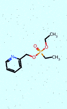 CCOP(=O)(CC)OCc1ccccn1